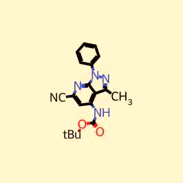 Cc1nn(-c2ccccc2)c2nc(C#N)cc(NC(=O)OC(C)(C)C)c12